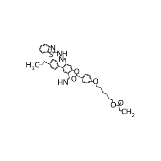 C=CC(=O)OCCCCCCOc1ccc(C(=O)Oc2cc(/C=N/Nc3nc4ccccc4s3)c(-c3ccc(CCC)cc3)cc2C=N)cc1